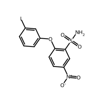 NS(=O)(=O)c1cc([N+](=O)[O-])ccc1Oc1cccc(I)c1